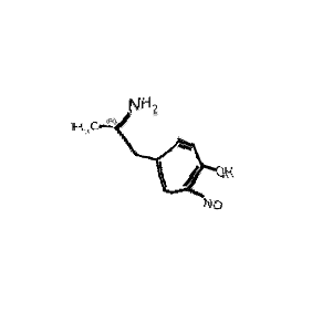 C[C@@H](N)Cc1ccc(O)c(N=O)c1